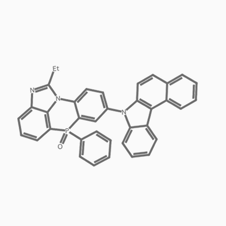 CCc1nc2cccc3c2n1-c1ccc(-n2c4ccccc4c4c5ccccc5ccc42)cc1P3(=O)c1ccccc1